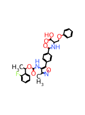 Cc1noc(-c2ccc(C(=O)NC(COc3ccccc3)C(=O)O)cc2)c1NC(=O)OC(C)c1ccccc1F